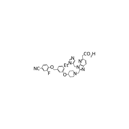 CCn1cncc1Cn1c(CN2CCC(Oc3cccc(COc4ccc(C#N)cc4F)c3)CC2)nc2ccc(CC(=O)O)nc21